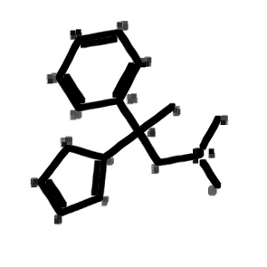 CP(C)CC(C)(C1=CC=CC1)c1ccccc1